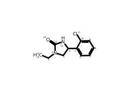 CCN1CC(c2ccccc2Cl)NC1=O